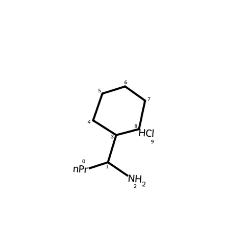 CCCC(N)C1CCCCC1.Cl